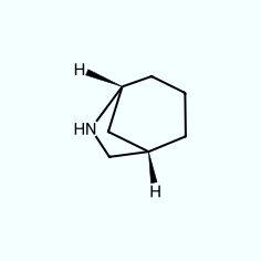 C1C[C@@H]2CN[C@H](C1)C2